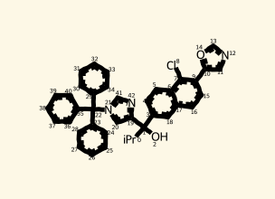 CC(C)C(O)(c1ccc2c(Cl)c(-c3cnco3)ccc2c1)c1cn(C(c2ccccc2)(c2ccccc2)c2ccccc2)cn1